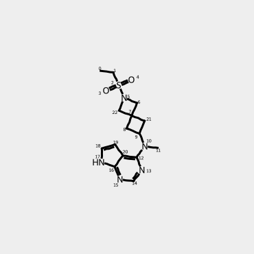 CCS(=O)(=O)N1CC2(CC(N(C)c3ncnc4[nH]ccc34)C2)C1